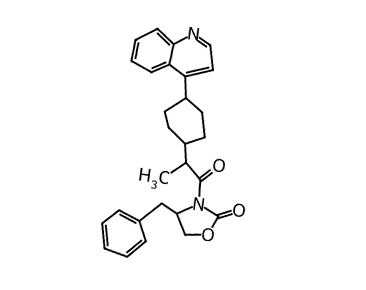 CC(C(=O)N1C(=O)OCC1Cc1ccccc1)C1CCC(c2ccnc3ccccc23)CC1